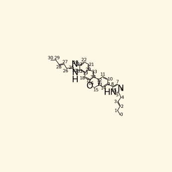 CCC=CCc1ncc(-c2ccc3c(c2)COc2cc4c(ccc5nc(CC=CCC)[nH]c54)cc2-3)[nH]1